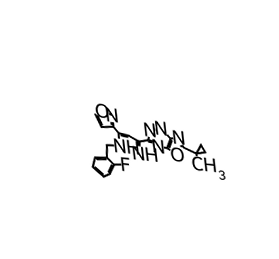 CC1(c2nc3nnc(C(=N)/C=C(\NCc4ccccc4F)c4ccon4)nc3o2)CC1